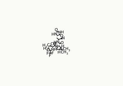 CC(C)(C)[C@H](NC(=O)C(F)(F)F)C(=O)N1C[C@H]2[C@H]([C@H]1C(=O)NC(C#N)C[C@@H]1NC(=O)NC1=O)C2(C)C